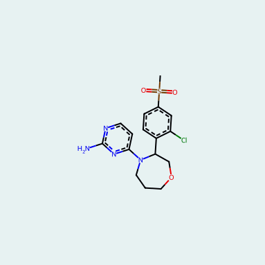 CS(=O)(=O)c1ccc(C2COCCCN2c2ccnc(N)n2)c(Cl)c1